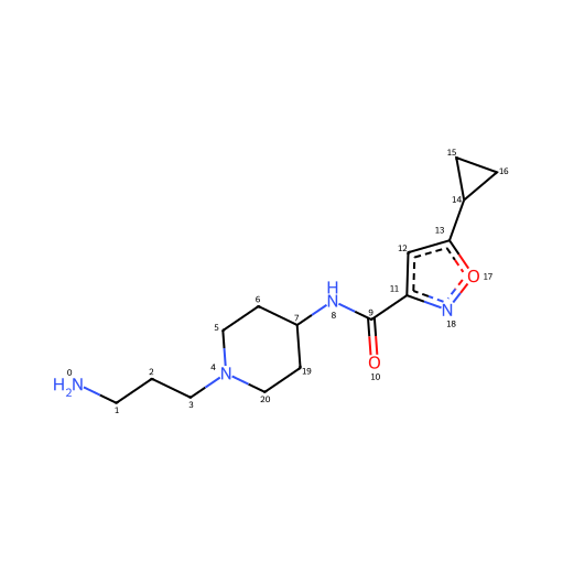 NCCCN1CCC(NC(=O)c2cc(C3CC3)on2)CC1